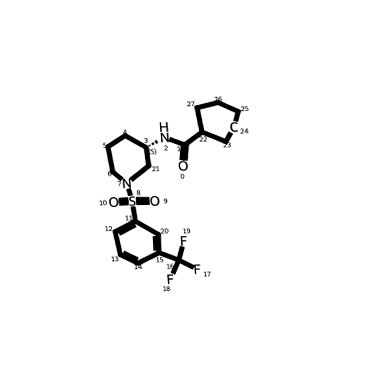 O=C(N[C@H]1CCCN(S(=O)(=O)c2cccc(C(F)(F)F)c2)C1)C1CCCCC1